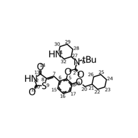 CC(C)(C)N(C(=O)Oc1c(C=C2SC(=O)NC2=O)cccc1OCC1CCCCC1)C1CCCNC1